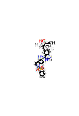 C#CC(O)C(C)(C)Cc1ccc2ncnc(Nc3ccc4c(ccn4S(=O)(=O)c4ccccc4)c3)c2c1